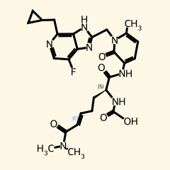 Cc1ccc(NC(=O)[C@H](CC/C=C/C(=O)N(C)C)NC(=O)O)c(=O)n1Cc1nc2c(F)cnc(CC3CC3)c2[nH]1